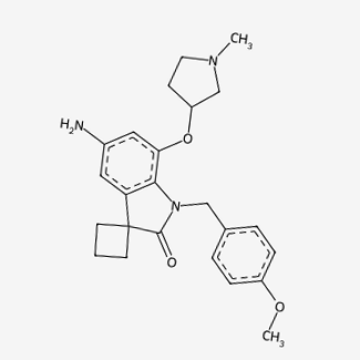 COc1ccc(CN2C(=O)C3(CCC3)c3cc(N)cc(OC4CCN(C)C4)c32)cc1